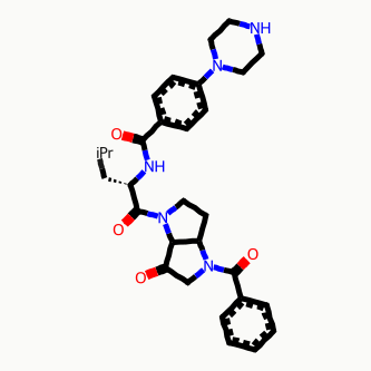 CC(C)C[C@H](NC(=O)c1ccc(N2CCNCC2)cc1)C(=O)N1CCC2C1C(=O)CN2C(=O)c1ccccc1